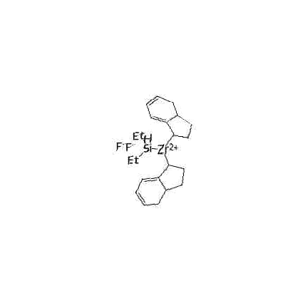 CC[SiH](CC)[Zr+2]([CH]1CCC2CC=CC=C21)[CH]1CCC2CC=CC=C21.[F-].[F-]